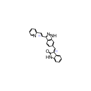 O=C1Nc2ccccc2/C1=C/c1ccc2c(/C=C/c3ccccn3)n[nH]c2c1